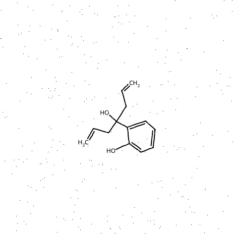 C=CCC(O)(CC=C)c1ccccc1O